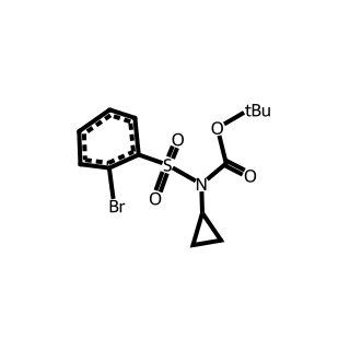 CC(C)(C)OC(=O)N(C1CC1)S(=O)(=O)c1ccccc1Br